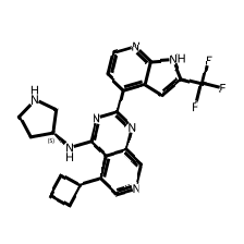 FC(F)(F)c1cc2c(-c3nc(N[C@H]4CCNC4)c4c(C5CCC5)cncc4n3)ccnc2[nH]1